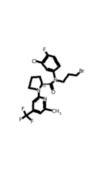 Cc1cc(C(F)(F)F)cc(N2CCC[C@H]2C(=O)N(CCCBr)c2ccc(F)c(Cl)c2)n1